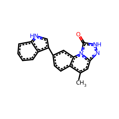 Cc1cc2n[nH]c(=O)n2c2cc(-c3c[nH]c4ccccc34)ccc12